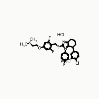 COc1cc(C2CCCc3nc(SCc4c(F)cc(OCCN(C)C)cc4F)n(-c4ccc(F)cc4)c32)ccc1Cl.Cl